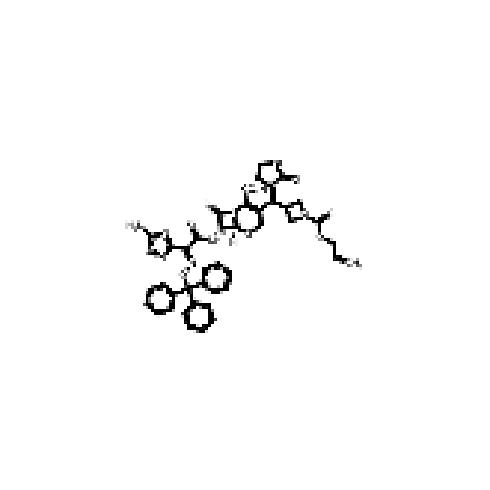 C=CCOC(=O)N1CC(C(=C2CCNC2=O)C2=C(C(=O)O)N3C(=O)[C@@H](NC(=O)C(=NOC(c4ccccc4)(c4ccccc4)c4ccccc4)c4nsc(N)n4)[C@H]3SC2)C1